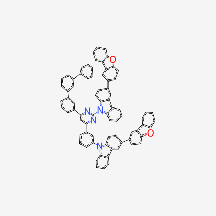 c1ccc(-c2cccc(-c3cccc(-c4cc(-c5cccc(-n6c7ccccc7c7cc(-c8ccc9oc%10ccccc%10c9c8)ccc76)c5)nc(-n5c6ccccc6c6cc(-c7ccc8oc9ccccc9c8c7)ccc65)n4)c3)c2)cc1